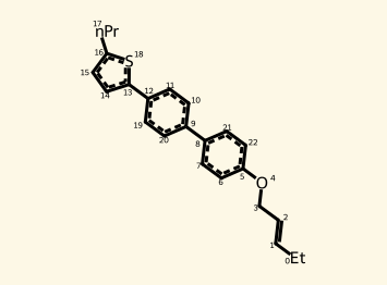 CCC=CCOc1ccc(-c2ccc(-c3ccc(CCC)s3)cc2)cc1